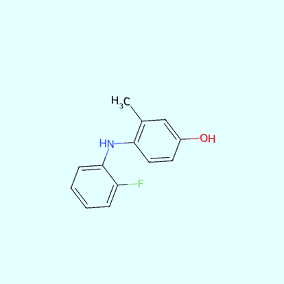 Cc1cc(O)ccc1Nc1ccccc1F